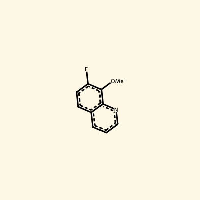 COc1c(F)ccc2cccnc12